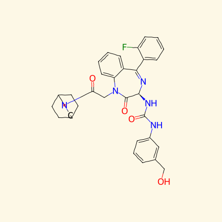 O=C(Nc1cccc(CO)c1)N[C@@H]1N=C(c2ccccc2F)c2ccccc2N(CC(=O)N2CC3CCC(CC3)C2)C1=O